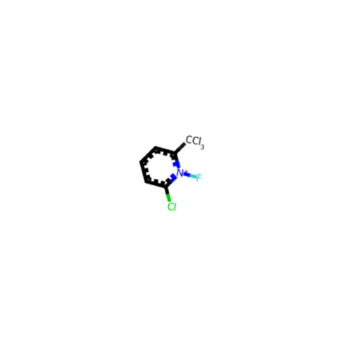 F[n+]1c(Cl)cccc1C(Cl)(Cl)Cl